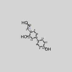 O/N=C/c1ccc(-c2ccc(O)cc2)cc1O